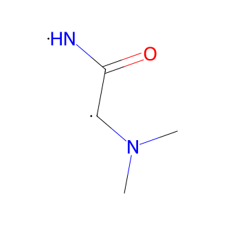 CN(C)[CH]C([NH])=O